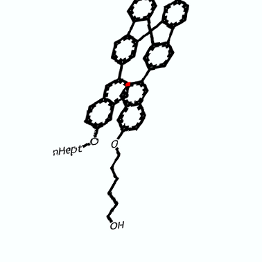 CCCCCCCOc1ccc2cc(-c3ccc4c(c3)C3(c5ccccc5-4)c4ccccc4-c4ccc(-c5ccc6cc(OCCCCCCO)ccc6c5)cc43)ccc2c1